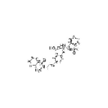 CN(CCSc1ccc(C[C@H](NC2=NS(=O)(=O)c3ccccc32)C(=O)O)cc1)C(=O)C1CCCCC1